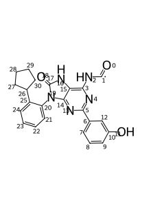 O=[C]Nc1nc(-c2cccc(O)c2)nc2c1[nH]c(=O)n2-c1ccccc1C1CCCC1